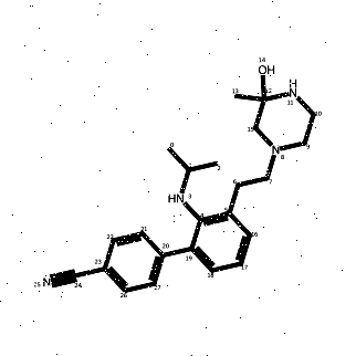 CC(C)Nc1c(CCN2CCNC(C)(O)C2)cccc1-c1ccc(C#N)cc1